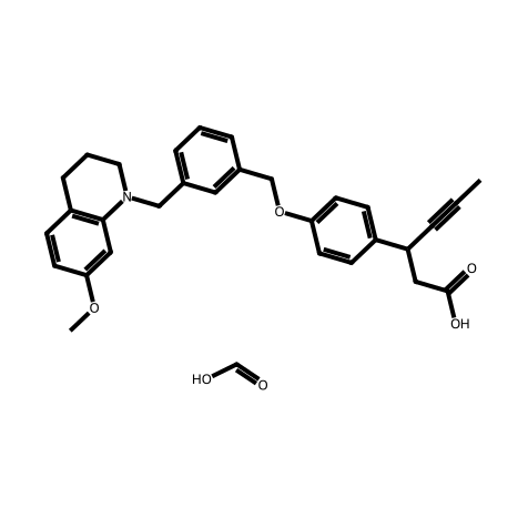 CC#CC(CC(=O)O)c1ccc(OCc2cccc(CN3CCCc4ccc(OC)cc43)c2)cc1.O=CO